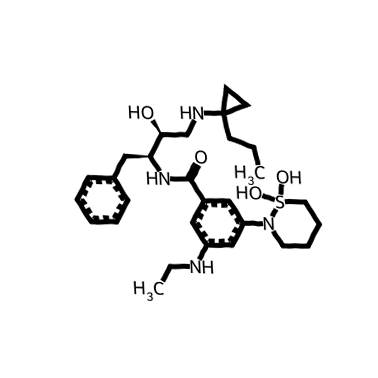 CCCC1(NC[C@H](O)[C@H](Cc2ccccc2)NC(=O)c2cc(NCC)cc(N3CCCCS3(O)O)c2)CC1